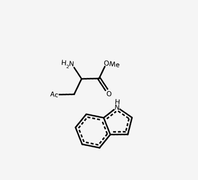 COC(=O)C(N)CC(C)=O.c1ccc2[nH]ccc2c1